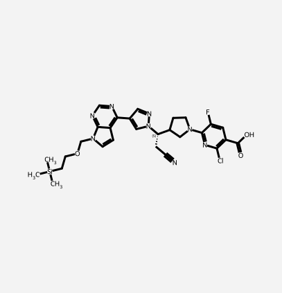 C[Si](C)(C)CCOCn1ccc2c(-c3cnn([C@@H](CC#N)C4CCN(c5nc(Cl)c(C(=O)O)cc5F)C4)c3)ncnc21